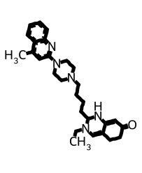 CCN1C=C2CCC(=O)C=C2NC1CCCCN1CCN(c2cc(C)c3ccccc3n2)CC1